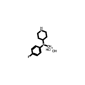 CN(c1ccc(F)cc1)C1CCNCC1.Cl.Cl